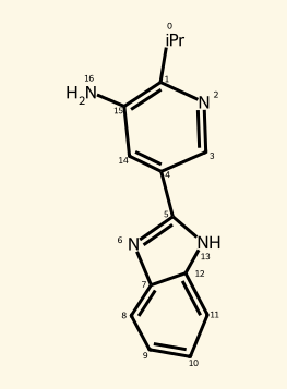 CC(C)c1ncc(-c2nc3ccccc3[nH]2)cc1N